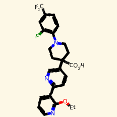 CCOc1ncccc1-c1ccc(C2(C(=O)O)CCN(c3ccc(C(F)(F)F)cc3F)CC2)cn1